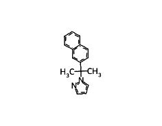 CC(C)(c1ccc2ccccc2c1)n1cccn1